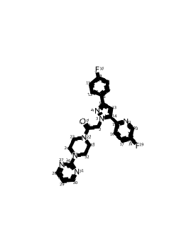 O=C(Cn1nc(-c2ccc(F)cc2)cc1-c1ccc(F)cn1)N1CCN(c2ncccn2)CC1